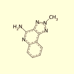 Cn1nc2c(N)nc3ccccc3c2n1